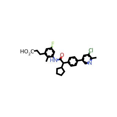 Cc1ncc(-c2ccc(C(C(=O)Nc3cc(F)cc(CCC(=O)O)c3C)C3CCCC3)cc2)cc1Cl